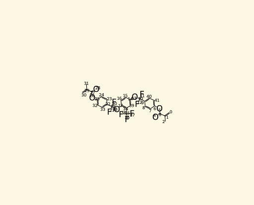 C=C(C)C(=O)Oc1ccc(C(F)(F)Oc2ccc(OC(F)(F)c3ccc(OC(=O)C(=C)C)cc3)c(C(F)(F)F)c2)cc1